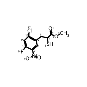 COC(=O)C(S)Cc1cc([N+](=O)[O-])c(F)cc1Cl